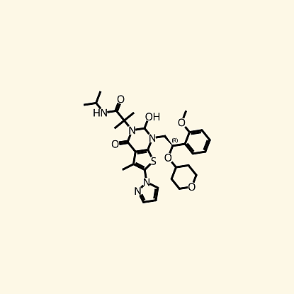 COc1ccccc1[C@H](CN1c2sc(-n3cccn3)c(C)c2C(=O)N(C(C)(C)C(=O)NC(C)C)C1O)OC1CCOCC1